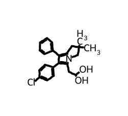 CC1(C)Cc2c(-c3ccccc3)c(-c3ccc(Cl)cc3)c(CC(O)O)n2C1